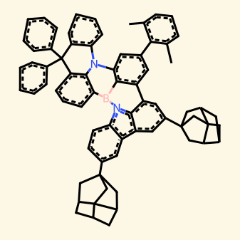 Cc1cccc(C)c1-c1cc2c3c(c1)N1c4ccccc4C(c4ccccc4)(c4ccccc4)c4cccc(c41)B3n1c3ccc(C45CC6CC7CC(C4)C76C5)cc3c3cc(C45CC6CC7CC6(C4)C7C5)cc-2c31